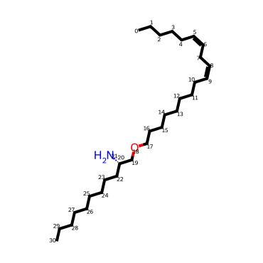 CCCCC/C=C\C/C=C\CCCCCCCCOC[C@@H](N)CCCCCCCCC